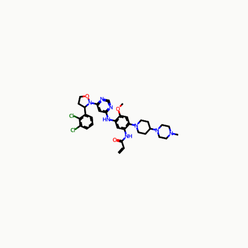 C=CC(=O)Nc1cc(Nc2cc(N3OCCC3c3cccc(Cl)c3Cl)ncn2)c(OC)cc1N1CCC(N2CCN(C)CC2)CC1